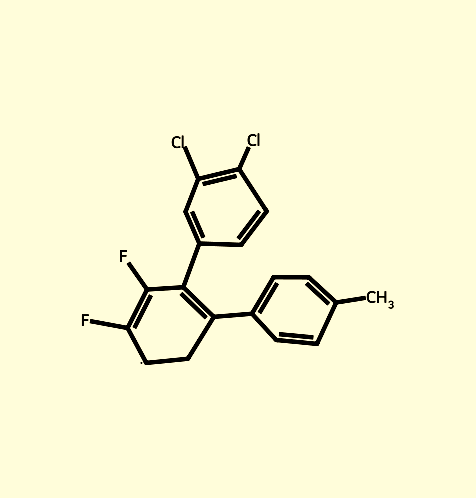 Cc1ccc(C2=C(c3ccc(Cl)c(Cl)c3)C(F)=C(F)[CH]C2)cc1